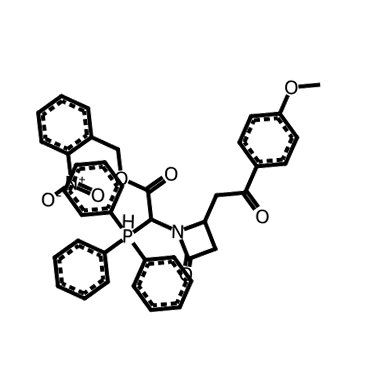 COc1ccc(C(=O)CC2CC(=O)N2C(C(=O)OCc2ccccc2[N+](=O)[O-])[PH](c2ccccc2)(c2ccccc2)c2ccccc2)cc1